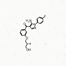 Nc1c(C(=O)c2cccc(OC[C@@H](I)CO)c2)cnn1-c1ccc(F)cc1